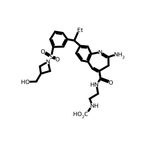 CCC(c1cccc(S(=O)(=O)N2CC(CO)C2)c1)c1ccc2c(c1)N=C(N)CC(C(=O)NCCNC(=O)O)=C2